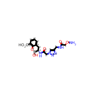 NOCC(=O)NCc1cn(CC(=O)N[C@H]2Cc3cccc(C(=O)O)c3OB2O)nn1